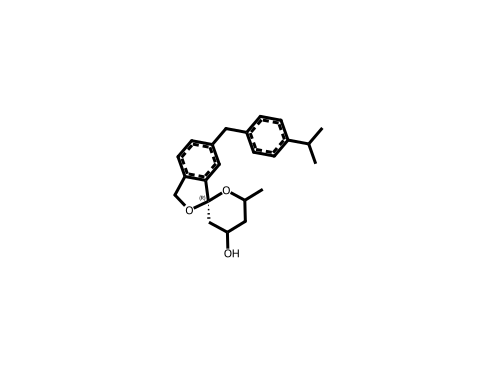 CC1CC(O)C[C@@]2(OCc3ccc(Cc4ccc(C(C)C)cc4)cc32)O1